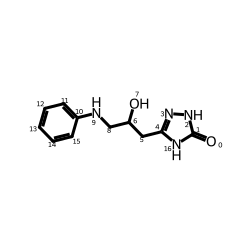 O=c1[nH]nc(CC(O)CNc2ccccc2)[nH]1